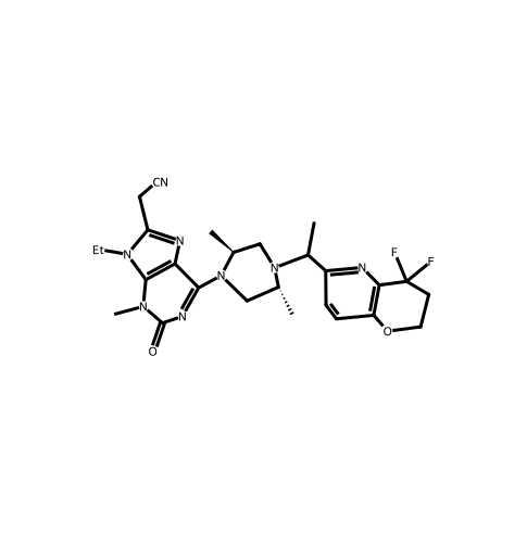 CCn1c(CC#N)nc2c(N3C[C@@H](C)N(C(C)c4ccc5c(n4)C(F)(F)CCO5)C[C@@H]3C)nc(=O)n(C)c21